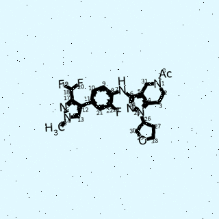 CC(=O)N1CCc2c(c(Nc3ccc(-c4cn(C)nc4C(F)F)cc3F)nn2C2CCOC2)C1